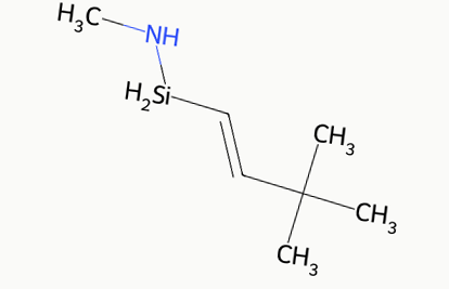 CN[SiH2]C=CC(C)(C)C